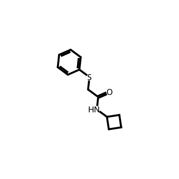 O=C(CSc1ccccc1)NC1CCC1